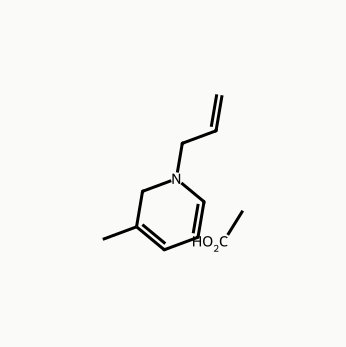 C=CCN1C=CC=C(C)C1.CC(=O)O